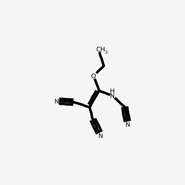 CCOC(NC#N)=C(C#N)C#N